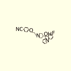 N#Cc1ccc(OCCCN2CCC([C@](O)(c3cccc(F)c3)c3ccccn3)CC2)cc1